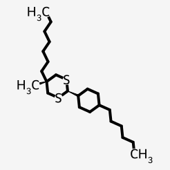 CCCCCCC[C@]1(C)CS[C@@H](C2CCC(CCCCCC)CC2)SC1